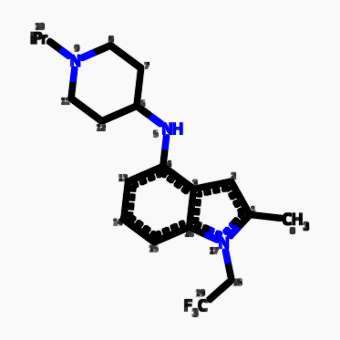 Cc1cc2c(NC3CCN(C(C)C)CC3)cccc2n1CC(F)(F)F